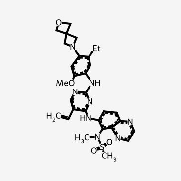 C=Cc1cnc(Nc2cc(CC)c(N3CC4(COC4)C3)cc2OC)nc1Nc1ccc2nccnc2c1N(C)S(C)(=O)=O